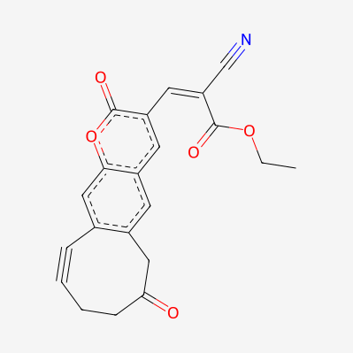 CCOC(=O)C(C#N)=Cc1cc2cc3c(cc2oc1=O)C#CCCC(=O)C3